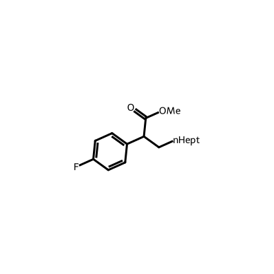 CCCCCCCCC(C(=O)OC)c1ccc(F)cc1